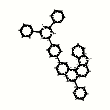 c1ccc(-c2nc(-c3ccccc3)nc(-c3ccc(-c4ccc5nc(-c6ccccc6)c6ccc7sc8ccccc8c7c6c5c4)cc3)n2)cc1